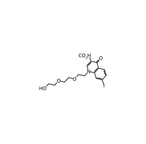 O=C(O)c1cn(CCOCCOCCO)c2cc(I)ccc2c1=O